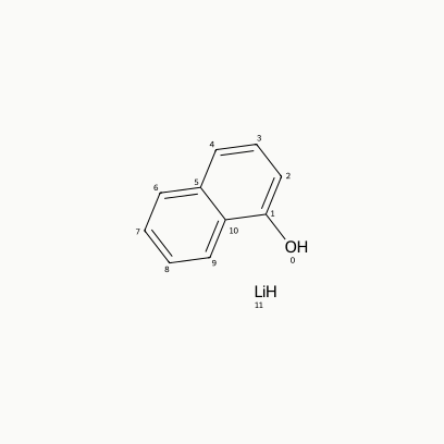 Oc1cccc2ccccc12.[LiH]